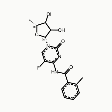 Cc1ccccc1C(=O)Nc1nc(=O)n([C@@H]2O[C@H](C)C(O)C2O)cc1F